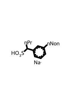 CCCCCCCCCc1cccc(C(CCC)S(=O)(=O)O)c1.[Na]